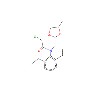 CCc1cccc(CC)c1N(CC1OCC(C)O1)C(=O)CCl